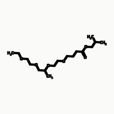 CCOCCOCC(C)OCCOCCCC(=O)OCC(C)C